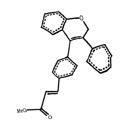 COC(=O)C=Cc1ccc(C2=C(c3ccccc3)COc3ccccc32)cc1